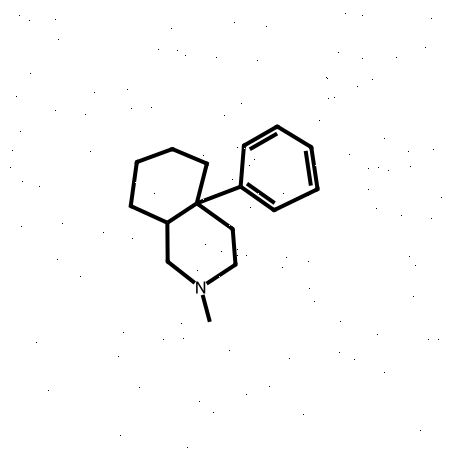 CN1CCC2(c3ccccc3)CCCCC2C1